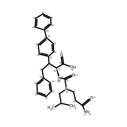 CC(C)CN(CCC(N)=O)C(=O)N[C@H](C(=O)O)C(Cc1ccccc1)c1ccc(-c2ccccc2)cc1